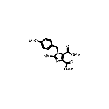 CCCCc1nc(C(=O)OC)c(C(=O)OC)n1Cc1ccc(OC)cc1